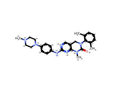 Cc1cccc(C)c1N1Cc2cnc(Nc3ccc(N4CCN(C)CC4)cc3)nc2N(C)C1=O